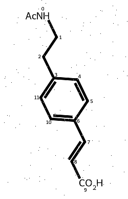 CC(=O)NCCc1ccc(C=CC(=O)O)cc1